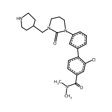 CN(C)C(=O)c1ccc(-c2cccc(N3CCCN(CC4CCNCC4)C3=O)c2)c(Cl)c1